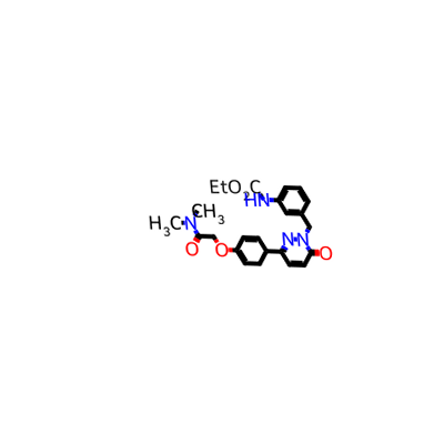 CCOC(=O)Nc1cccc(Cn2nc(C3C=CC(OCC(=O)N(C)C)=CC3)ccc2=O)c1